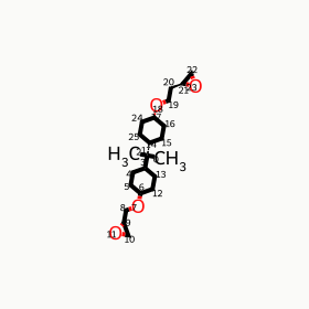 CC(C)(C1CCC(OCC2CO2)CC1)[C@H]1CC[C@@H](OCC[C@H]2CO2)CC1